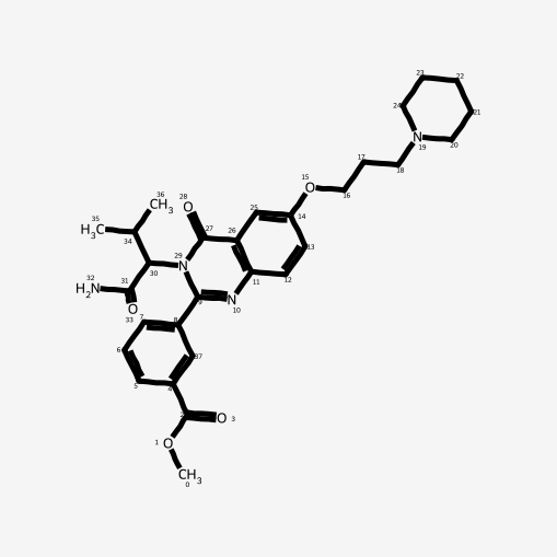 COC(=O)c1cccc(-c2nc3ccc(OCCCN4CCCCC4)cc3c(=O)n2C(C(N)=O)C(C)C)c1